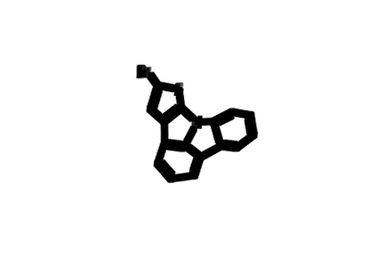 Brc1cc2c3cccc4c5ccccc5n(c2s1)c43